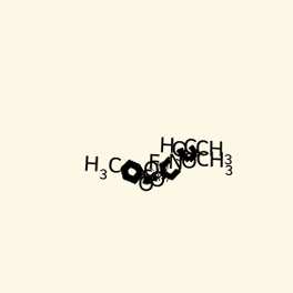 Cc1ccc(S(=O)(=O)O[C@H]2CCN(C(=O)OC(C)(C)C)C[C@@H]2F)cc1